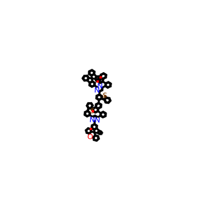 c1ccc2c(c1)Oc1ccccc1C21c2ccccc2-c2cc(-c3nc(-c4ccccc4-c4cccc5cc(-c6ccc(-c7cc(-c8ccccc8-c8cccc9ccccc89)nc(-c8ccc9c(c8)C8(c%10ccccc%10-c%10ccccc%108)c8ccccc8-9)n7)c7sc8ccccc8c67)ccc45)cc(-c4cccc5c4sc4ccccc45)n3)ccc21